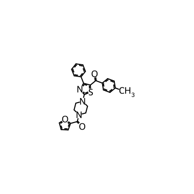 Cc1ccc(C(=O)c2sc(N3CCN(C(=O)c4ccco4)CC3)nc2-c2ccccc2)cc1